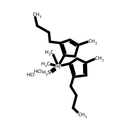 CCCCC1=[C]([Hf]([CH3])([CH3])(=[SiH2])[C]2=C(CCCC)C=C(C)C2)CC(C)=C1.Cl.Cl